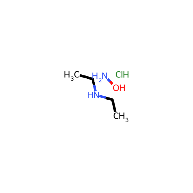 CCNCC.Cl.NO